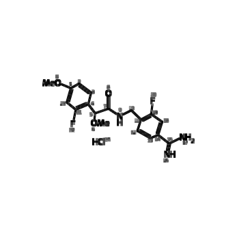 COc1ccc(C(OC)C(=O)NCc2ccc(C(=N)N)cc2F)c(F)c1.Cl